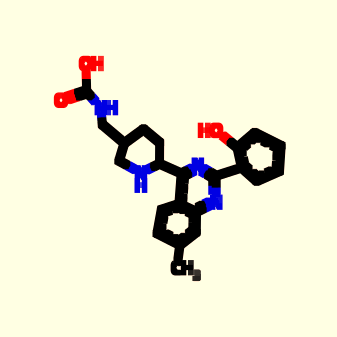 Cc1ccc2c(C3CCC(CNC(=O)O)CN3)nc(-c3ccccc3O)nc2c1